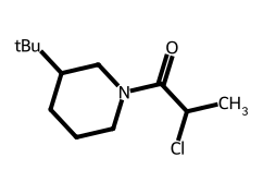 CC(Cl)C(=O)N1CCCC(C(C)(C)C)C1